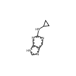 c1nc2cnc(NC3CC3)nc2[nH]1